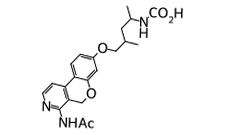 CC(=O)Nc1nccc2c1COc1cc(OCC(C)CC(C)NC(=O)O)ccc1-2